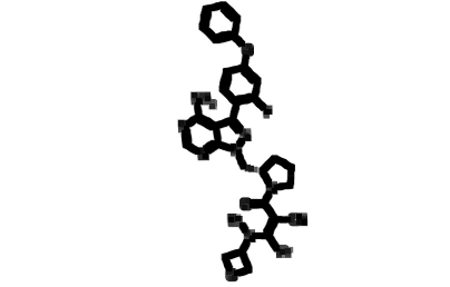 CCN(C(=C(C#N)C(=O)N1CCC[C@H]1Cn1nc(-c2ccc(Oc3ccccc3)cc2F)c2c(N)ncnc21)C(C)C)C1COC1